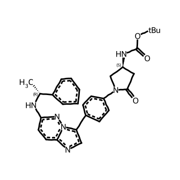 C[C@@H](Nc1ccc2ncc(-c3ccc(N4C[C@@H](NC(=O)OC(C)(C)C)CC4=O)cc3)n2n1)c1ccccc1